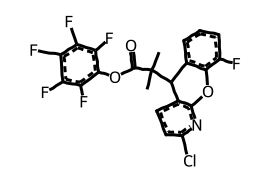 CC(C)(C(=O)Oc1c(F)c(F)c(F)c(F)c1F)C1c2ccc(Cl)nc2Oc2c(F)cccc21